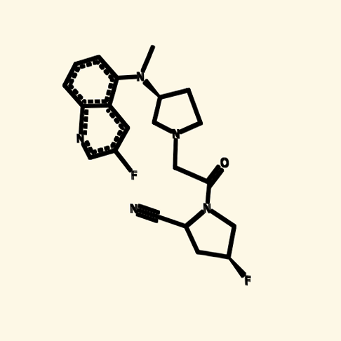 CN(c1cccc2ncc(F)cc12)[C@H]1CCN(CC(=O)N2C[C@@H](F)CC2C#N)C1